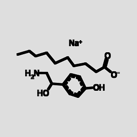 CCCCCCCCCC(=O)[O-].NCC(O)c1ccc(O)cc1.[Na+]